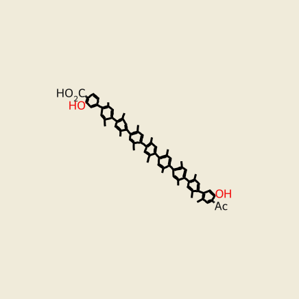 CC(=O)c1cc(C)c(-c2cc(C)c(-c3cc(C)c(-c4cc(C)c(-c5cc(C)c(-c6cc(C)c(-c7cc(C)c(-c8cc(C)c(-c9ccc(C(=O)O)c(O)c9)cc8C)cc7C)cc6C)cc5C)cc4C)cc3C)cc2C)cc1O